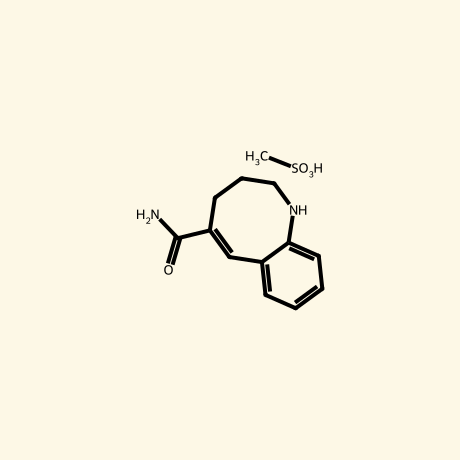 CS(=O)(=O)O.NC(=O)/C1=C/c2ccccc2NCCC1